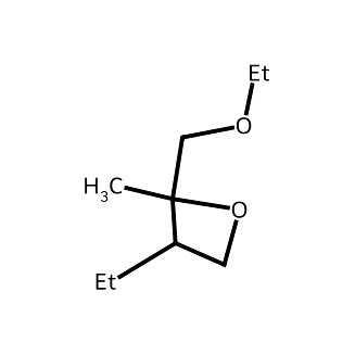 CCOCC1(C)OCC1CC